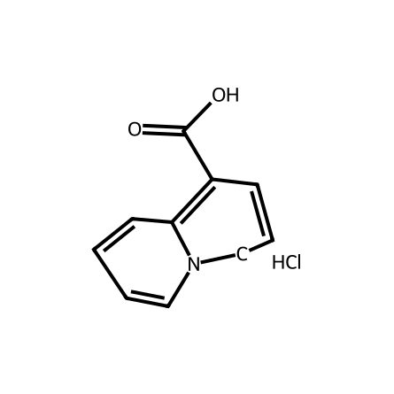 Cl.O=C(O)C1=C2C=CC=CN2CC=C1